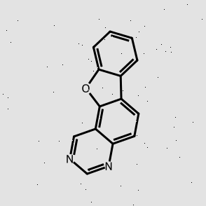 c1ccc2c(c1)oc1c3cncnc3ccc21